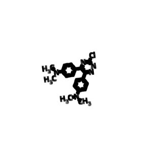 CN(C)c1ccc(-c2nnc(Cl)nc2-c2ccc(N(C)C)cc2)cc1